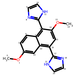 COc1ccc2c(-c3ncc[nH]3)c(OC)cc(-c3ncc[nH]3)c2c1